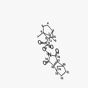 CC1(C)C2CCC1(C)C(S(=O)(=O)ON1C(=O)C3=C(C1=O)C1CCC3C1)C2